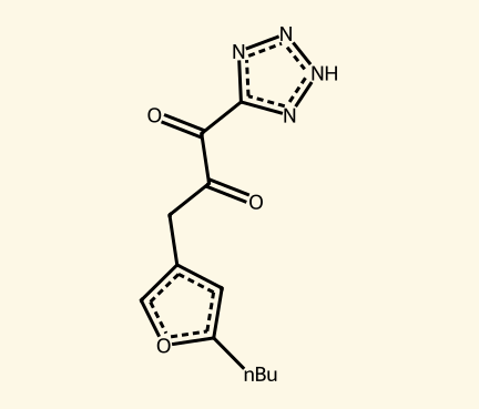 CCCCc1cc(CC(=O)C(=O)c2nn[nH]n2)co1